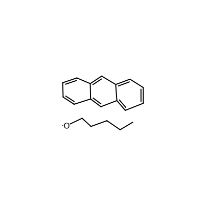 CCCCC[O].c1ccc2cc3ccccc3cc2c1